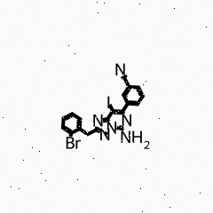 N#Cc1cccc(-c2nc(N)n3nc(Cc4ccccc4Br)nc3c2I)c1